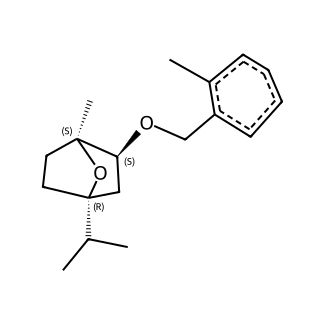 Cc1ccccc1CO[C@H]1C[C@@]2(C(C)C)CC[C@]1(C)O2